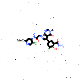 COc1cc(NC(=O)Cn2cc(-c3cc(Cl)c(O)c(C(N)=O)c3)c3c(=O)n(C)cnc32)c(Cl)cn1